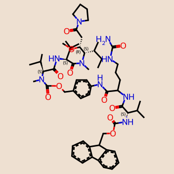 CCC(C)[C@@H]([C@@H](CC(=O)N1CCCC1)OC)N(C)C(=O)[C@@H](NC(=O)[C@H](C(C)C)N(C)C(=O)OCc1ccc(NC(=O)C(CCCNC(N)=O)NC(=O)[C@@H](NC(=O)OCC2c3ccccc3-c3ccccc32)C(C)C)cc1)C(C)C